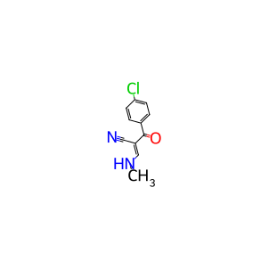 CNC=C(C#N)C(=O)c1ccc(Cl)cc1